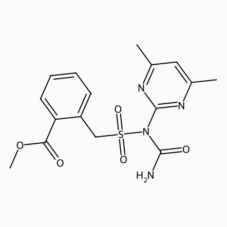 COC(=O)c1ccccc1CS(=O)(=O)N(C(N)=O)c1nc(C)cc(C)n1